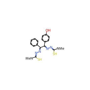 CN/C(S)=N/N=C(/C(=N/N=C(\S)NC)c1ccc(O)cc1)c1ccccc1